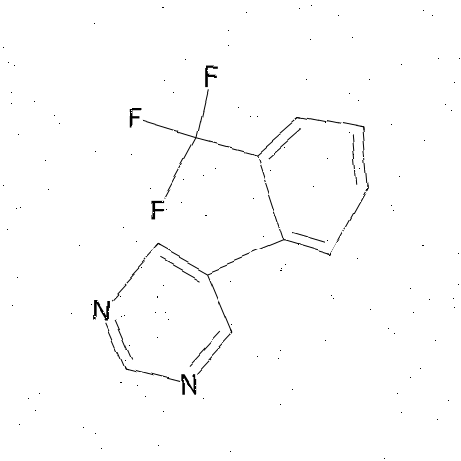 FC(F)(F)c1ccccc1-c1cncnc1